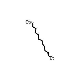 CC/C=C/CCCCCCCCC[N]CC